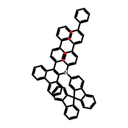 c1ccc(-c2ccc(-c3ccc(N(c4ccc5c(c4)C4(c6ccccc6-c6ccccc64)c4ccccc4-5)c4c(-c5ccc(-c6ccccc6)cc5)c5ccccc5c5ccccc45)cc3)cc2)cc1